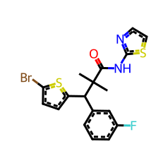 CC(C)(C(=O)Nc1nccs1)C(c1cccc(F)c1)c1ccc(Br)s1